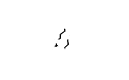 CC(C)(C)OC(=O)NCCCC(=O)O.NCCCC(=O)O